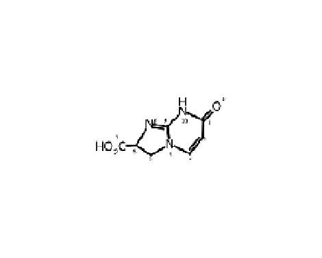 O=C1C=CN2CC(C(=O)O)N=C2N1